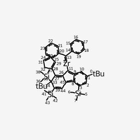 CC(C)(C)c1cc([Si](C)(C)C)c2c(c1)=[C]([Zr]=[C](c1ccccc1)c1ccccc1)C1=C(C3=CC=CC3)C(C(C)(C)C)([Si](C)(C)C)C([Si](C)(C)C)=CC=21